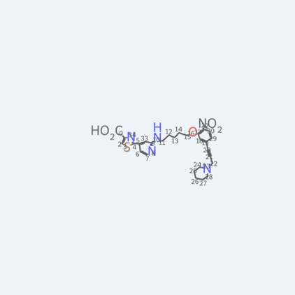 O=C(O)c1csc(-c2ccnc(NCCCCCOc3cc(C#CCN4CCCCC4)ccc3[N+](=O)[O-])c2)n1